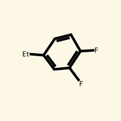 [CH2]Cc1ccc(F)c(F)c1